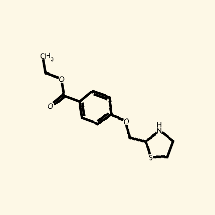 CCOC(=O)c1ccc(OCC2NCCS2)cc1